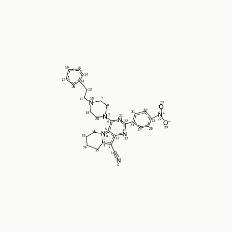 N#Cc1c2n(c3c(N4CCN(CCc5ccccc5)CC4)nc(-c4ccc([N+](=O)[O-])cc4)nc13)CCCC2